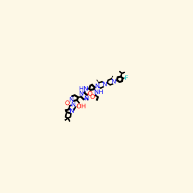 C=CC(=O)Nc1cc(Nc2nc(-c3ccnc(N4CCn5c(cc6c5CC(C)(C)C6)C4=O)c3CO)cn(C)c2=O)ccc1N1CCN(C2CCN(c3ccc(F)c(C(C)C)c3)[C@H](C)C2)C[C@@H]1C